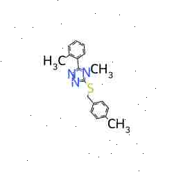 Cc1ccc(CSc2nnc(-c3ccccc3C)n2C)cc1